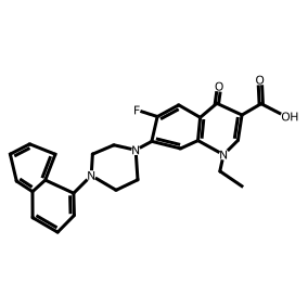 CCn1cc(C(=O)O)c(=O)c2cc(F)c(N3CCN(c4cccc5ccccc45)CC3)cc21